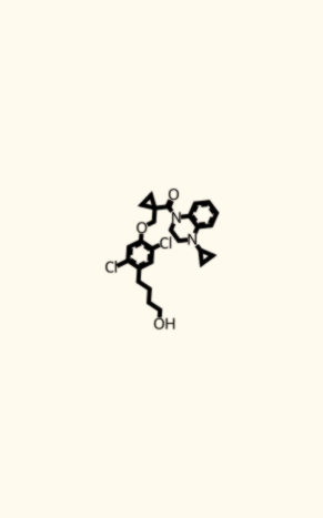 O=C(N1CCN(C2CC2)c2ccccc21)C1(COc2cc(Cl)c(CCCCO)cc2Cl)CC1